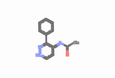 CC(C)(C)C(=O)N=c1cc[nH]nc1-c1ccccc1